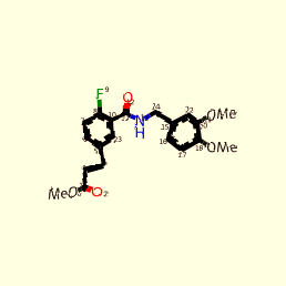 COC(=O)C=Cc1ccc(F)c(C(=O)NCc2ccc(OC)c(OC)c2)c1